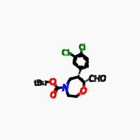 CC(C)(C)OC(=O)N1CCO[C@@H](C=O)[C@@H](c2ccc(Cl)c(Cl)c2)C1